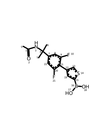 CC(=O)NC(C)(C)c1cc(F)c(-c2csc(B(O)O)c2)c(F)c1